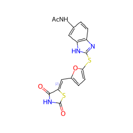 CC(=O)Nc1ccc2nc(Sc3ccc(/C=C4\SC(=O)NC4=O)o3)[nH]c2c1